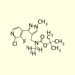 [2H]C([2H])([2H])N(Cc1cn(C)nc1-c1ccnc(Cl)c1F)C(=O)OC(C)(C)C